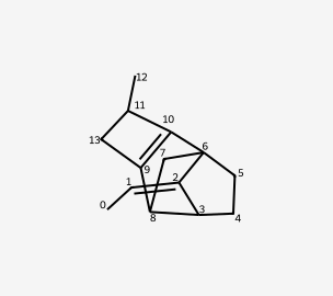 CC=C1C2CCC13CC2C1=C3C(C)C1